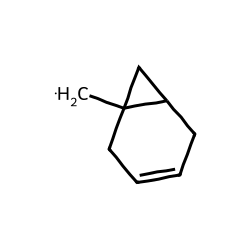 [CH2]C12CC=CCC1C2